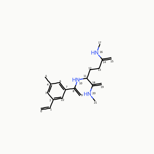 C=Cc1cc(C)cc(C(=C)NC(CCC(=C)NC)C(=C)NC)c1